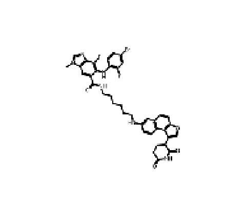 Cn1cnc2c(F)c(Nc3ccc(Br)cc3F)c(C(=O)NCCCCCCNc3ccc4c(ccc5occ(C6CCC(=O)NC6=O)c54)c3)cc21